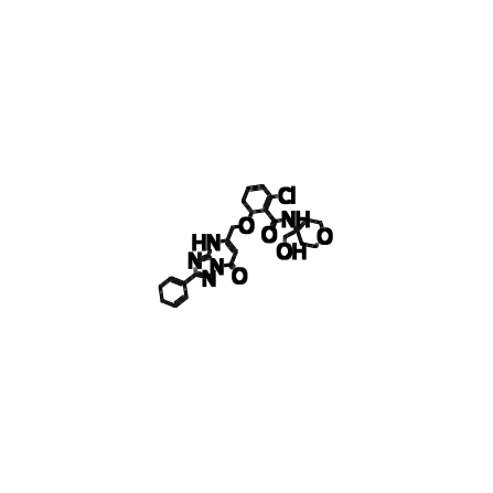 O=C(NC1(CO)CCOCC1)C1=C(Cl)C=CCC1OCc1cc(=O)n2nc(C3=CCCC=C3)nc2[nH]1